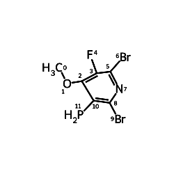 COc1c(F)c(Br)nc(Br)c1P